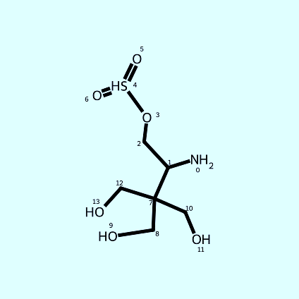 NC(CO[SH](=O)=O)C(CO)(CO)CO